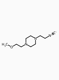 [C-]#[N+]CCN1CCN(CCOC)CC1